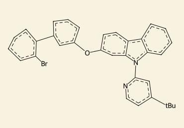 CC(C)(C)c1ccnc(-n2c3ccccc3c3ccc(Oc4cccc(-c5ccccc5Br)c4)cc32)c1